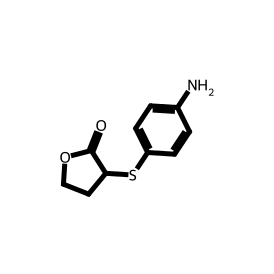 Nc1ccc(SC2CCOC2=O)cc1